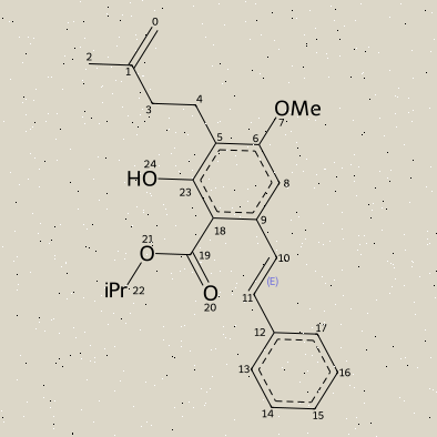 C=C(C)CCc1c(OC)cc(/C=C/c2ccccc2)c(C(=O)OC(C)C)c1O